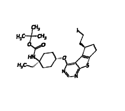 CC[C@]1(NC(=O)OC(C)(C)C)CC[C@H](Oc2ncnc3sc4c(c23)[C@@H](CCI)CC4)CC1